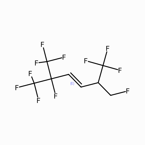 FCC(/C=C/C(F)(C(F)(F)F)C(F)(F)F)C(F)(F)F